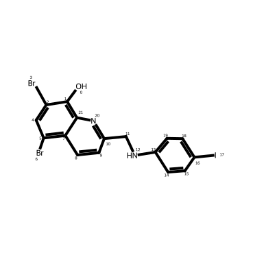 Oc1c(Br)cc(Br)c2ccc(CNc3ccc(I)cc3)nc12